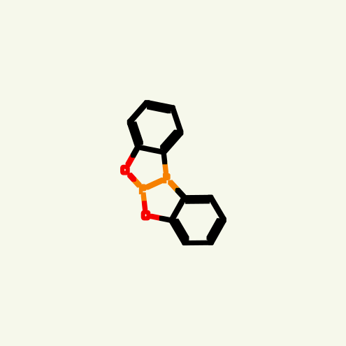 c1ccc2c(c1)OP1Oc3ccccc3P21